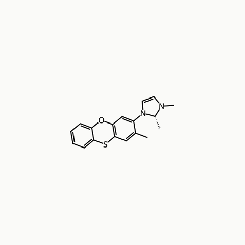 Cc1cc2c(cc1N1C=CN(C)[C@@H]1C)Oc1ccccc1S2